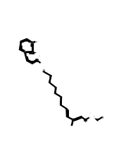 CC(C=CCCCCCCCOc1ccc2cccc(Cl)c2n1)=CC(=O)NCC(C)C